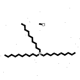 CCCCCCCCCCN(CCCCCCCCCC)CCCCCCCCCC.CCl